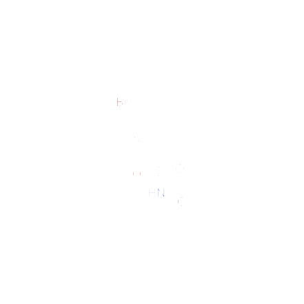 O=S(=O)(NCl)c1ccc(Br)s1